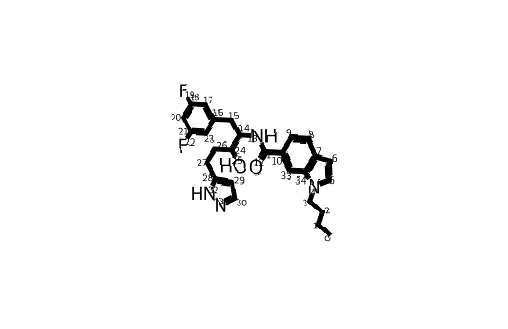 CCCCn1ccc2ccc(C(=O)NC(Cc3cc(F)cc(F)c3)C(O)CCc3ccn[nH]3)cc21